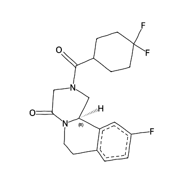 O=C(C1CCC(F)(F)CC1)N1CC(=O)N2CCc3ccc(F)cc3[C@@H]2C1